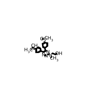 CN(C)c1ccc(-c2nnc(N(C)CCO)nc2-c2ccc([S+](C)[O-])cc2)cc1